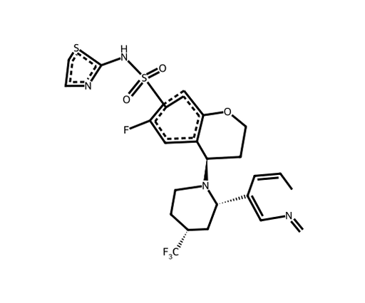 C=N/C=C(\C=C/C)[C@@H]1C[C@H](C(F)(F)F)CCN1[C@@H]1CCOc2cc(S(=O)(=O)Nc3nccs3)c(F)cc21